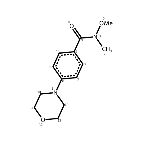 CON(C)C(=O)c1ccc(N2CCOCC2)cc1